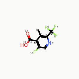 Cc1c(C(F)(F)F)ncc(F)c1C(=O)O